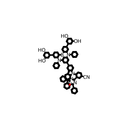 N#Cc1ccc(-n2c3ccc(-c4cc5c6c(c4)N(c4ccccc4)c4cc(-c7cc(O)cc(O)c7)ccc4B6c4ccc(-c6cc(O)cc(O)c6)cc4N5c4ccccc4)cc3c3ccc(-c4ccccc4)cc32)c(-c2nc(-c3ccccc3)nc(-c3ccccc3)n2)c1